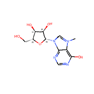 C[n+]1cn([C@@H]2O[C@H](CO)[C@@H](O)[C@H]2O)c2ncnc(O)c21